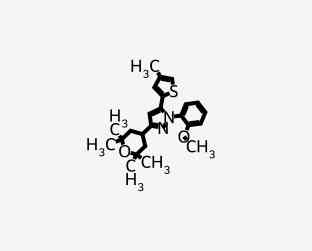 COc1ccccc1-n1nc(C2CC(C)(C)OC(C)(C)C2)cc1-c1cc(C)cs1